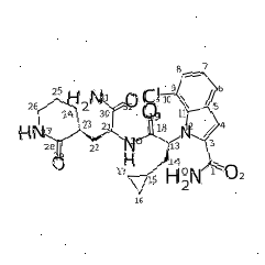 NC(=O)c1cc2cccc(Cl)c2n1[C@@H](CC1CC1)C(=O)N[C@@H](C[C@@H]1CCCNC1=O)C(N)=O